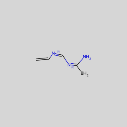 B/C(N)=N/C=N\C=C